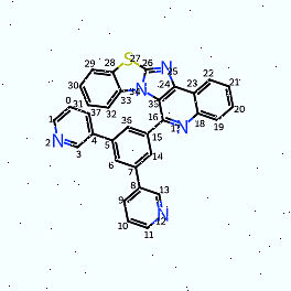 c1cncc(-c2cc(-c3cccnc3)cc(-c3nc4ccccc4c4nc5sc6ccccc6n5c34)c2)c1